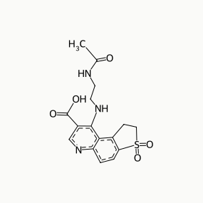 CC(=O)NCCNc1c(C(=O)O)cnc2ccc3c(c12)CCS3(=O)=O